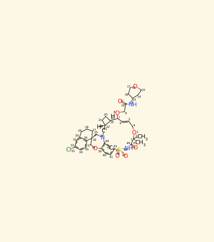 CC1(C)OC/C=C/[C@H](OCC(=O)NC2CCOCC2)[C@@H]2CC[C@H]2CN2C[C@@]3(CCCc4cc(Cl)ccc43)COc3ccc(cc32)S(=O)(=O)NC1=O